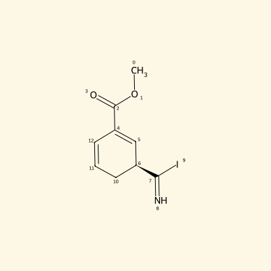 COC(=O)C1=C[C@@H](C(=N)I)CC=C1